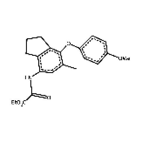 CCOC(=O)C(=O)Nc1cc(C)c(Oc2ccc(OC)cc2)c2c1CCC2